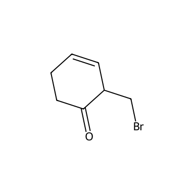 O=C1CCC=CC1CBr